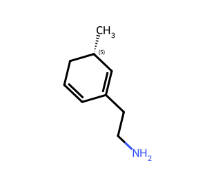 C[C@@H]1C=C(CCN)C=CC1